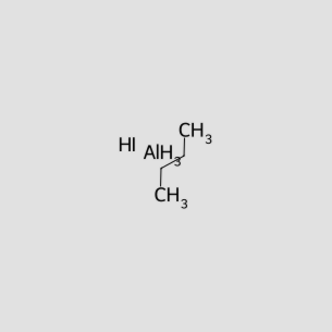 CCCC.I.[AlH3]